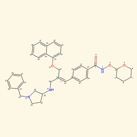 O=C(NOC1CCCCO1)c1ccc(/C=C(/CNC2CCN(Cc3ccccc3)C2)COc2cccc3ccccc23)cc1